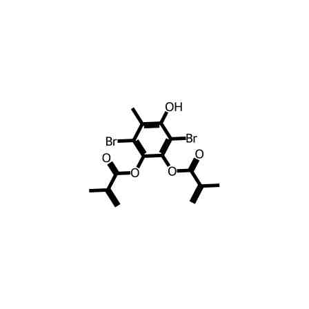 C=C(C)C(=O)Oc1c(Br)c(C)c(O)c(Br)c1OC(=O)C(=C)C